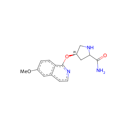 COc1ccc2c(O[C@H]3CNC(C(N)=O)C3)nccc2c1